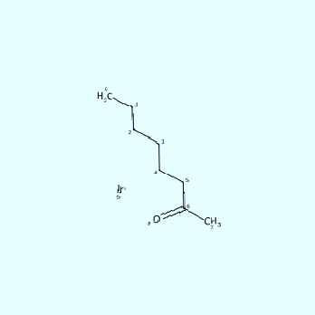 CCCCCCC(C)=O.[Ir]